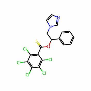 S=C(OC(Cn1ccnc1)c1ccccc1)c1c(Cl)c(Cl)c(Cl)c(Cl)c1Cl